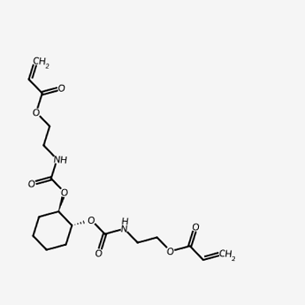 C=CC(=O)OCCNC(=O)O[C@@H]1CCCC[C@H]1OC(=O)NCCOC(=O)C=C